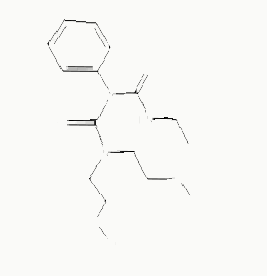 CCOCCN(CCOCC)C(=O)N(C(=O)NC[C]=O)c1ccccc1